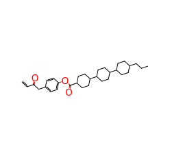 C=CC(=O)Cc1ccc(OC(=O)C2CCC(C3CCC(C4CCC(CCC)CC4)CC3)CC2)cc1